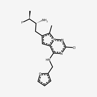 Cc1c(C[C@@H](N)[C@H](C)F)cc2c(NCc3ccco3)nc(Cl)nn12